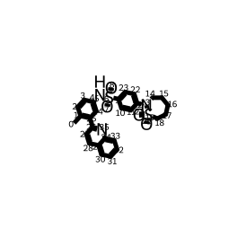 Cc1ccc(NS(=O)(=O)c2ccc(N3CCCCCS3(=O)=O)cc2)cc1-c1ccc2ccccc2n1